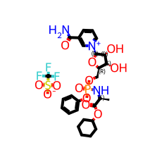 C[C@H](NP(=O)(OC[C@H]1O[C@@H]([n+]2cccc(C(N)=O)c2)[C@H](O)[C@@H]1O)Oc1ccccc1)C(=O)OC1CCCCC1.O=S(=O)([O-])C(F)(F)F